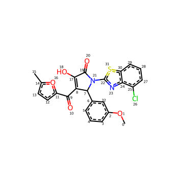 COc1cccc(C2C(C(=O)c3ccc(C)o3)=C(O)C(=O)N2c2nc3c(Cl)cccc3s2)c1